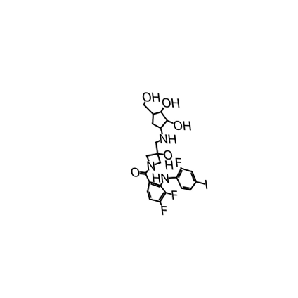 O=C(c1ccc(F)c(F)c1Nc1ccc(I)cc1F)N1CC(O)(CNC2CC(CO)C(O)C2O)C1